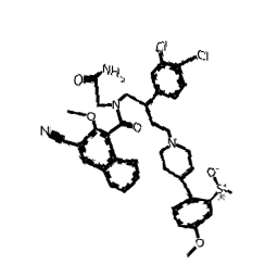 COc1ccc(C2CCN(CCC(CN(CC(N)=O)C(=O)c3c(OC)c(C#N)cc4ccccc34)c3ccc(Cl)c(Cl)c3)CC2)c([S@+](C)[O-])c1